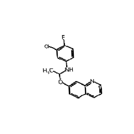 CC(Nc1ccc(F)c(Cl)c1)Oc1ccc2cccnc2c1